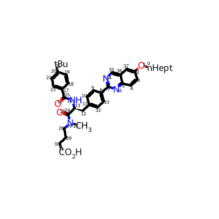 CCCCCCCOc1ccc2nc(-c3ccc(C[C@H](NC(=O)c4ccc(C(C)(C)C)cc4)C(=O)N(C)CCCC(=O)O)cc3)ncc2c1